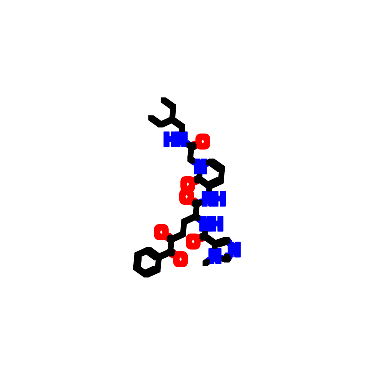 CCC(CC)CNC(=O)Cn1cccc(NC(=O)C(CCC(=O)C(=O)c2ccccc2)NC(=O)c2cncn2C)c1=O